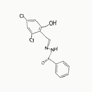 O=C(N/N=C/c1c(O)cc(Cl)cc1Cl)c1ccccc1